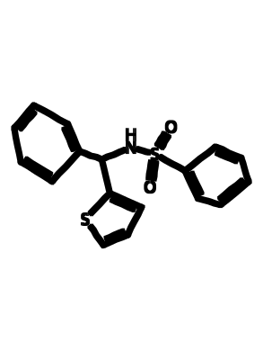 O=S(=O)(NC(c1ccccc1)c1cccs1)c1ccccc1